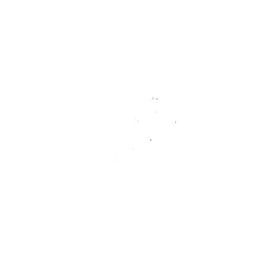 CCC[C@@H](C(=O)OC)N(C(=O)OC)C1c2ccccc2-c2ccccc21